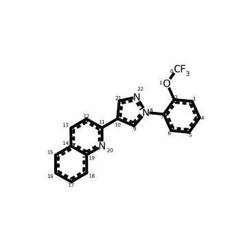 FC(F)(F)Oc1ccccc1-n1cc(-c2ccc3ccccc3n2)cn1